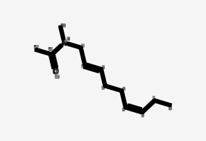 CC/C=C\CC/C=C/CN(C)C(C)=O